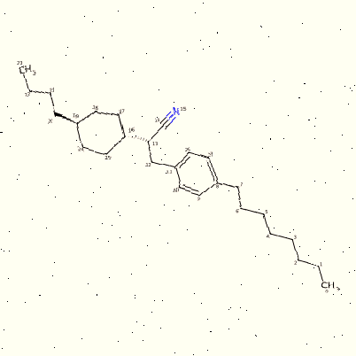 CCCCCCCCc1ccc(CC(C#N)[C@H]2CC[C@H](CCCC)CC2)cc1